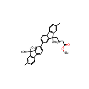 CCCCCCCCC1(CCCCCCCC)c2cc(C)ccc2-c2ccc(-c3ccc4c(c3)C(CCCCCCC)(CCCC(=O)OCCCC)c3cc(C)ccc3-4)cc21